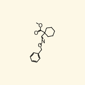 COC(=O)C1(C=NOCc2ccccc2)CCCCC1